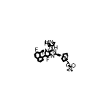 C#Cc1c(F)ccc2cccc(-c3nnc4c(N5C[C@H]6C[C@@H]5CN6)nc(C#C[C@]56CCCN5[C@@H](COC(=O)N(C)C)CC6)nc4c3F)c12